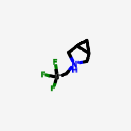 F[B-](F)(F)C[NH+]1CC2CC2C1